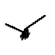 CCCCCCCCCCCCCCCCCCc1ccc(N(CCCCCCCCCCCCCCCCCC)c2c(F)c(F)c(F)c3c(F)c(F)c(F)c(F)c23)cc1